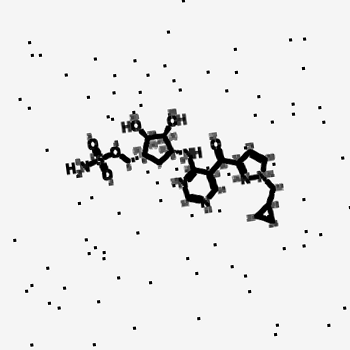 NS(=O)(=O)OC[C@H]1C[C@@H](Nc2ncncc2C(=O)c2ccn(CC3CC3)n2)[C@H](O)[C@@H]1O